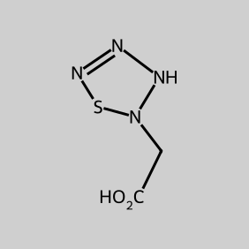 O=C(O)CN1NN=NS1